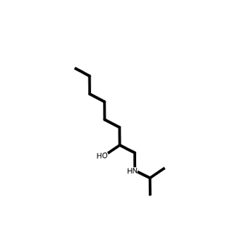 CCCCCCC(O)CNC(C)C